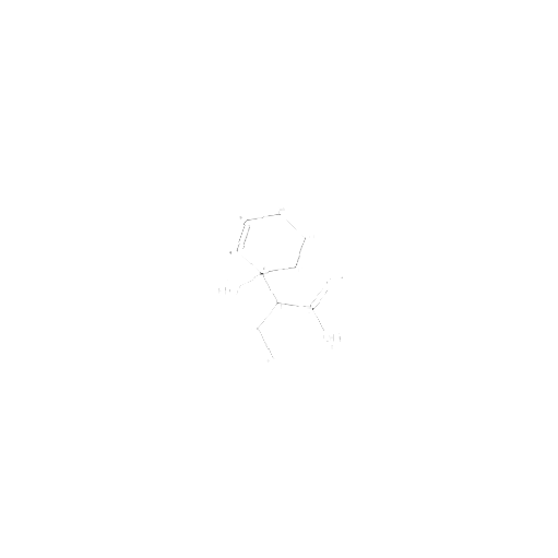 CCC(C(=O)O)C1(O)C=CCCC1